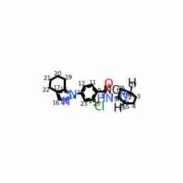 N#CN1[C@H]2CC[C@@H]1[C@H](NC(=O)c1ccc(-n3ncc4c3CCCC4)cc1Cl)C2